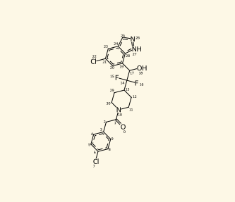 O=C(Cc1ccc(Cl)cc1)N1CCC(C(F)(F)C(O)c2cc(Cl)cc3cn[nH]c23)CC1